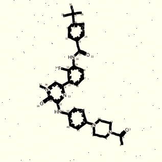 CC(=O)N1CCN(c2ccc(Nc3nc(-c4cccc(NC(=O)c5ccc(C(C)(C)C)cc5)c4F)cn(C)c3=O)cc2)CC1